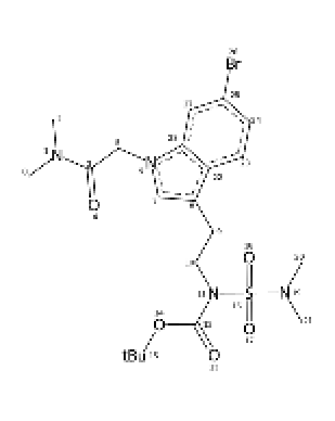 CN(C)C(=O)Cn1cc(CCN(C(=O)OC(C)(C)C)S(=O)(=O)N(C)C)c2ccc(Br)cc21